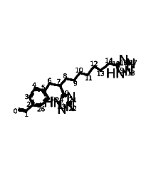 C=Cc1ccc(CC(CCCCCCCc2nnn[nH]2)c2nnn[nH]2)cc1